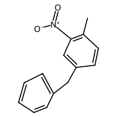 Cc1ccc(Cc2ccccc2)cc1[N+](=O)[O-]